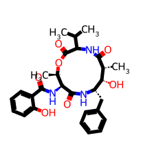 CC(C)C1NC(=O)[C@H](C)[C@H](O)[C@H](Cc2ccccc2)NC(=O)[C@@H](NC(=O)c2ccccc2O)[C@@H](C)OC1=O